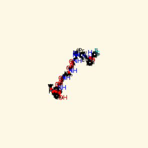 CCC1CC(n2c(CCNC(=O)COCC(=O)NCC(C)CC(C)CNC(=O)COCC(=O)N[C@@H]3CC[C@@]4(O)[C@H]5Cc6ccc(O)c7c6[C@@]4(CCN5CC4CC4)[C@H]3O7)nnc2C(C)C)CC(C)N1CC[C@H](NC(=O)C1CCC(F)(F)CC1)c1ccccc1